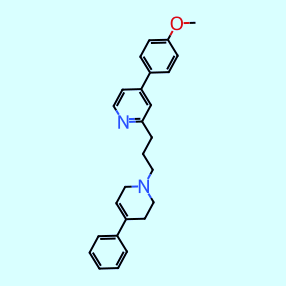 COc1ccc(-c2ccnc(CCCN3CC=C(c4ccccc4)CC3)c2)cc1